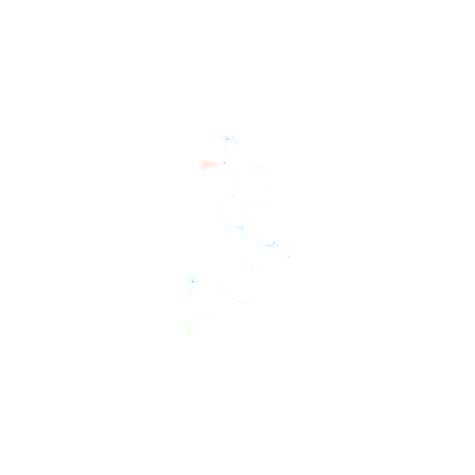 NC(=O)c1cccc2c1CCN2c1cc(Cc2cncc(Cl)c2)ccn1